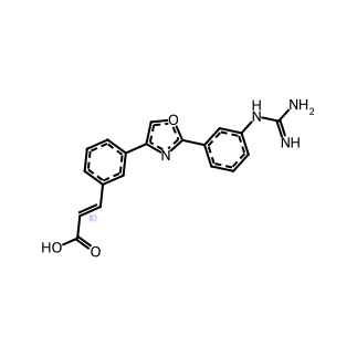 N=C(N)Nc1cccc(-c2nc(-c3cccc(/C=C/C(=O)O)c3)co2)c1